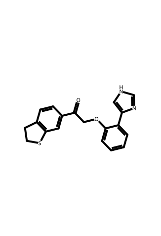 O=C(COc1ccccc1-c1c[nH]cn1)c1ccc2c(c1)SCC2